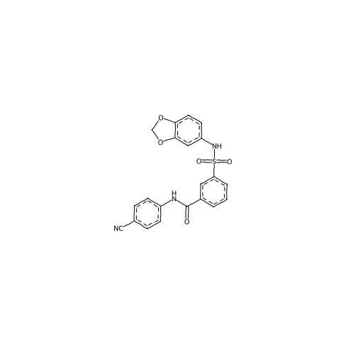 N#Cc1ccc(NC(=O)c2cccc(S(=O)(=O)Nc3ccc4c(c3)OCO4)c2)cc1